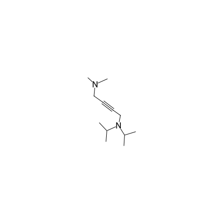 CC(C)N(CC#CCN(C)C)C(C)C